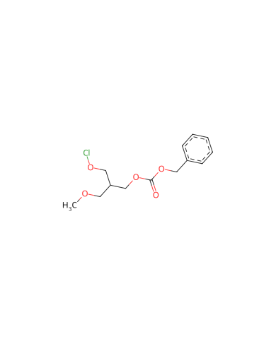 COCC(COCl)COC(=O)OCc1ccccc1